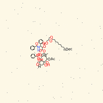 CCCCCCCCCCCCCCCCCC1OCC(COC(=O)O[C@@H](C(=O)O[C@H]2C[C@@]3(O)[C@@H](OC(=O)c4ccccc4)C4[C@]5(O)CO[C@@H]5C[C@H](O)[C@@]4(C)C(=O)[C@H](OC(C)=O)C(=C2C)C3(C)C)[C@@H](NC(=O)c2ccccc2)c2ccccc2)O1